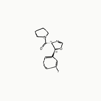 O=C([C@@H]1N=CO[C@H]1c1cccc(I)c1)N1CCCC1